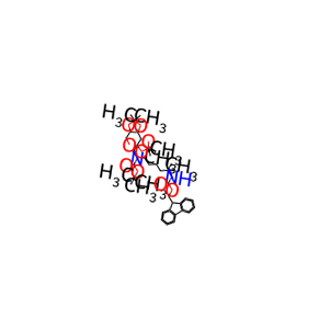 C[C@H](CCCCN(CC12OCC3OC(C)(C)OC3C1OC(C)(C)O2)C(=O)OC(C)(C)C)NC(=O)OCC1c2ccccc2-c2ccccc21